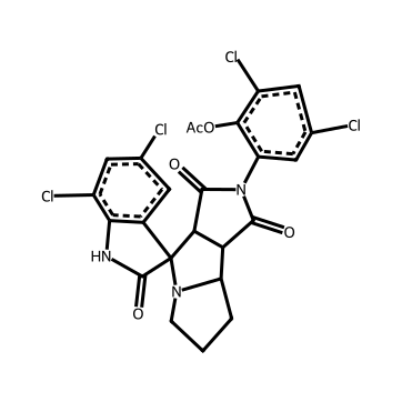 CC(=O)Oc1c(Cl)cc(Cl)cc1N1C(=O)C2C3CCCN3C3(C(=O)Nc4c(Cl)cc(Cl)cc43)C2C1=O